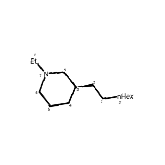 CCCCCCCC[C@H]1CCCN(CC)C1